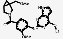 CCOc1nc(Nc2ccc(C(=O)N3CC4CC4(COC)C3)cc2OC)nc2[nH]ccc12